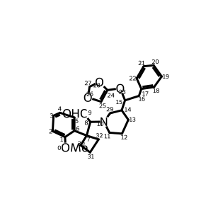 COc1ccccc1C1(C(C=O)N2CCCC(C(Cc3ccccc3)OC3=COCO3)C2)CCC1